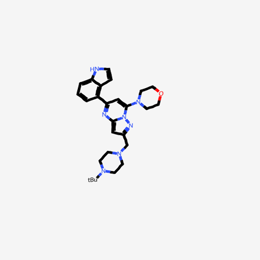 CC(C)(C)N1CCN(Cc2cc3nc(-c4cccc5[nH]ccc45)cc(N4CCOCC4)n3n2)CC1